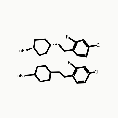 CCCCC1CCC(CCc2ccc(Cl)cc2F)CC1.CCC[C@H]1CC[C@H](CCc2ccc(Cl)cc2F)CC1